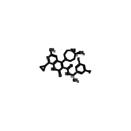 Cc1cc2c(N3CCN[C@@H](C)CC3)c(C(=O)N[C@@H](C)c3cc(F)cc(F)c3)c(=O)[nH]c2c(C2CC2)n1